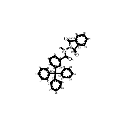 CN(C(=O)c1cccc(C(c2ccccc2)(c2ccccc2)c2ccccc2)c1)N1C(=O)c2ccccc2C1=O